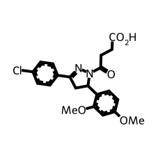 COc1ccc(C2CC(c3ccc(Cl)cc3)=NN2C(=O)CCC(=O)O)c(OC)c1